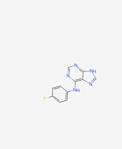 Fc1ccc(Nc2ncnc3[nH]cnc23)cc1